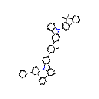 CC1C=C(c2ccc3c(c2)c2cccc4c2n3-c2ccc(-c3ccccc3)cc2-c2ccccc2-4)C=CC1c1ccc2c(c1)c1ccccc1n2-c1ccc2c(c1)C(C)(C)c1ccccc1-2